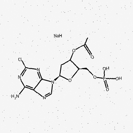 CC(=O)OC1C[C@H](n2cnc3c(N)nc(Cl)nc32)O[C@@H]1COP(=O)(O)O.[NaH]